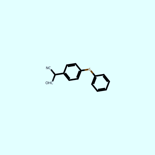 N#CC(C=O)c1ccc(Sc2ccccc2)cc1